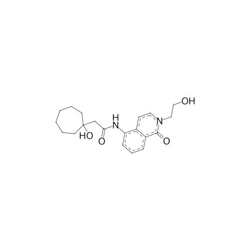 O=C(CC1(O)CCCCCC1)Nc1cccc2c(=O)n(CCO)ccc12